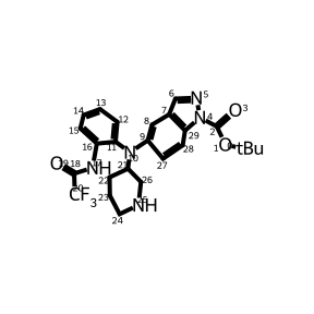 CC(C)(C)OC(=O)n1ncc2cc(N(c3ccccc3NC(=O)C(F)(F)F)C3CCCNC3)ccc21